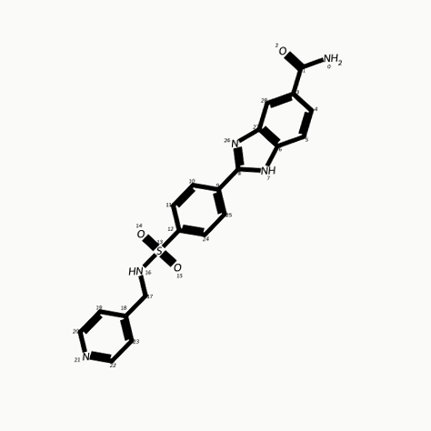 NC(=O)c1ccc2[nH]c(-c3ccc(S(=O)(=O)NCc4ccncc4)cc3)nc2c1